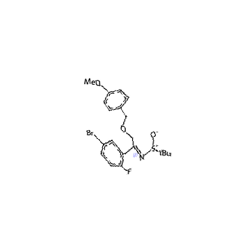 COc1ccc(COC/C(=N\[S+]([O-])C(C)(C)C)c2cc(Br)ccc2F)cc1